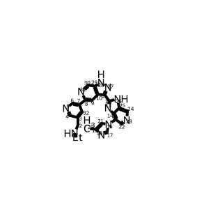 CCNCc1cncc(-c2cc3c(-c4nc5c(-n6cnc(C)c6)cncc5[nH]4)n[nH]c3cn2)c1